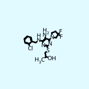 CC(O)CSc1nc(NCc2ccccc2Cl)c(N)c(N2CCC(F)(F)C2)n1